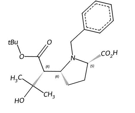 CC(C)(C)OC(=O)[C@H]([C@H]1CC[C@@H](C(=O)O)N1Cc1ccccc1)C(C)(C)O